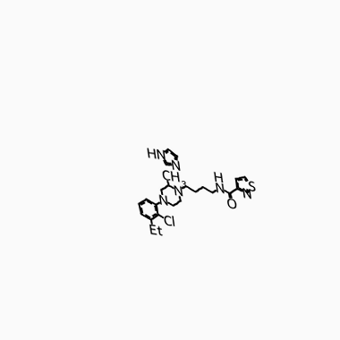 CCc1cccc(N2CCN(CCCCNC(=O)c3ccsn3)C(C)C2)c1Cl.c1c[nH]cn1